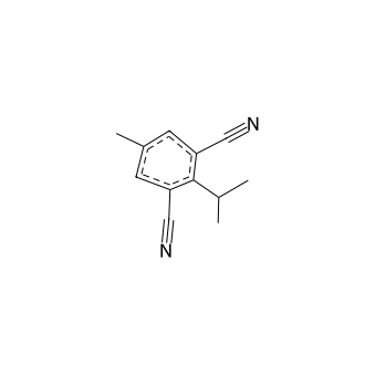 Cc1cc(C#N)c(C(C)C)c(C#N)c1